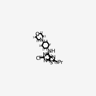 CC(C)c1nc2c(N[C@H]3CC[C@H](N4CCOCC4)CC3)nc(Cl)nc2s1